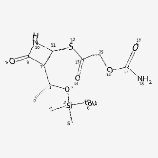 C[C@@H](O[Si](C)(C)C(C)(C)C)C1C(=O)NC1SC(=O)COC(N)=O